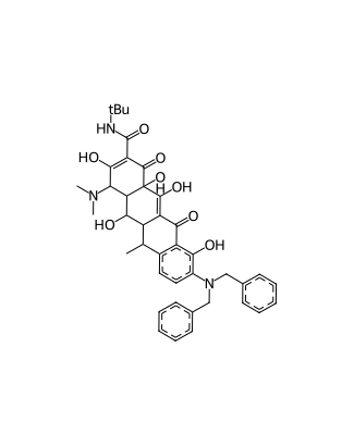 CC1c2ccc(N(Cc3ccccc3)Cc3ccccc3)c(O)c2C(=O)C2=C(O)C3(O)C(=O)C(C(=O)NC(C)(C)C)=C(O)C(N(C)C)C3C(O)C21